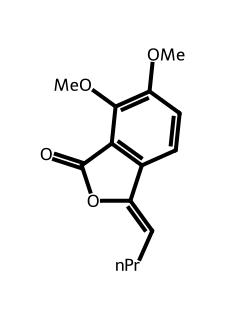 CCC/C=C1\OC(=O)c2c1ccc(OC)c2OC